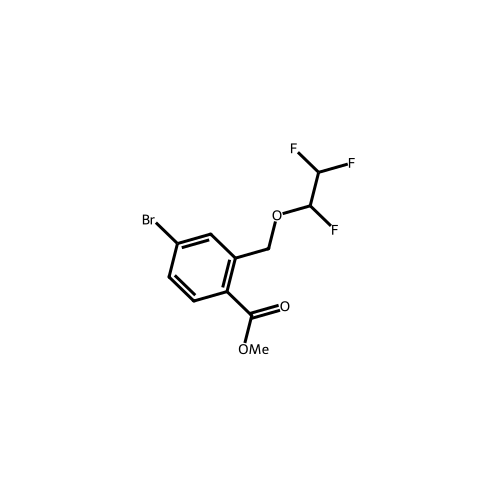 COC(=O)c1ccc(Br)cc1COC(F)C(F)F